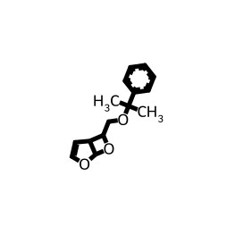 CC(C)(OCC1OC2OC=CC12)c1ccccc1